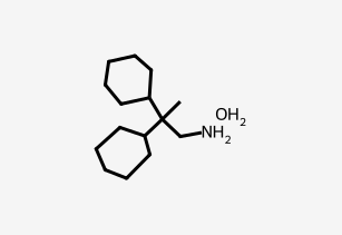 CC(CN)(C1CCCCC1)C1CCCCC1.O